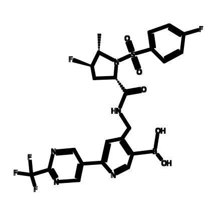 C[C@H]1[C@H](F)C[C@@H](C(=O)NCc2cc(-c3cnc(C(F)(F)F)nc3)ncc2B(O)O)N1S(=O)(=O)c1ccc(F)cc1